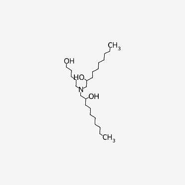 CCCCCCCCC(O)CN(CCCCCO)CC(O)CCCCCCCC